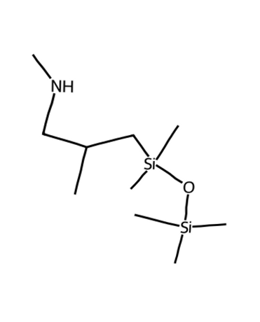 CNCC(C)C[Si](C)(C)O[Si](C)(C)C